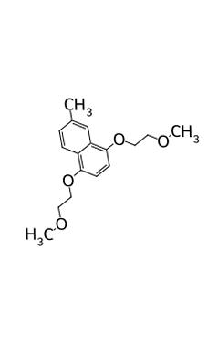 COCCOc1ccc(OCCOC)c2cc(C)ccc12